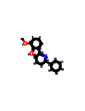 COc1cccc2c1oc1ccc(-c3ccccc3)nc12